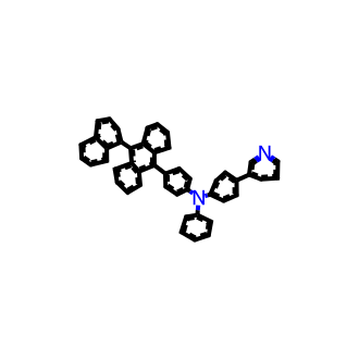 c1ccc(N(c2ccc(-c3cccnc3)cc2)c2ccc(-c3c4ccccc4c(-c4cccc5ccccc45)c4ccccc34)cc2)cc1